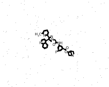 Cc1cccc(-c2nn(CC(=O)Nc3cc(F)cc(C(=O)OC4CN5CCC4CC5)c3)cc2-c2ccnc3ccccc23)n1